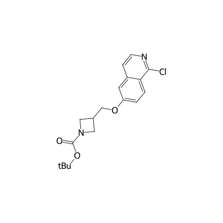 CC(C)(C)OC(=O)N1CC(COc2ccc3c(Cl)nccc3c2)C1